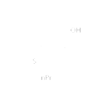 CCCSC(C)CO